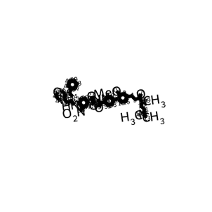 COc1cc(CCC(=O)N(C)CCN(C)C)ccc1-c1ccc(C(=O)NS(=O)(=O)c2ccc(N[C@@H](CSc3ccccc3)CN3CCOCC3)c([N+](=O)[O-])c2)cc1